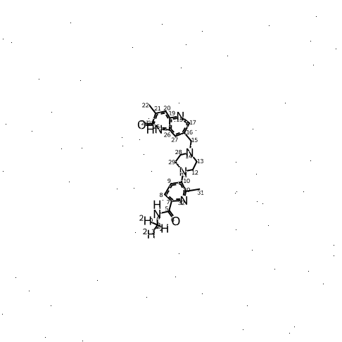 [2H]C([2H])([2H])NC(=O)c1ccc(N2CCN(Cc3cnc4cc(C)c(=O)[nH]c4c3)CC2)c(C)n1